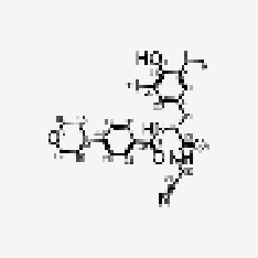 CCc1cc(C[C@H](NC(=O)c2ccc(N3CCOCC3)cc2)C(=O)NCC#N)cc(I)c1O